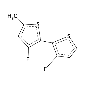 Cc1cc(F)c(-c2sccc2F)s1